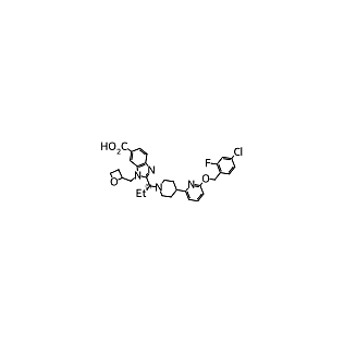 CC[C@@H](c1nc2ccc(C(=O)O)cc2n1CC1CCO1)N1CCC(c2cccc(OCc3ccc(Cl)cc3F)n2)CC1